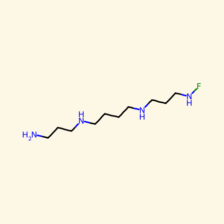 NCCCNCCCCNCCCNF